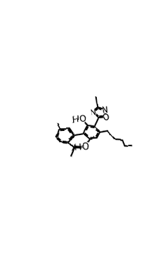 C=C(C)c1ccc(C)cc1-c1c(O)cc(CCCCC)c(-c2nc(C)no2)c1O